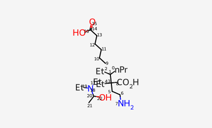 CCCC(CC)C(CC)(CCN)C(=O)O.CCCCCC(=O)O.CCN(CC)C(C)O